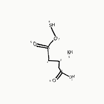 O=C(O)CCC(=O)OS.[KH]